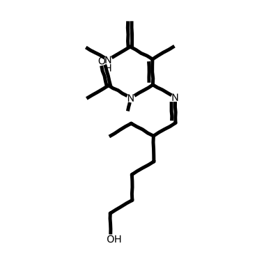 C=C(NC)/C(C)=C(/N=C\C(CC)CCCCO)N(C)C(C)=O